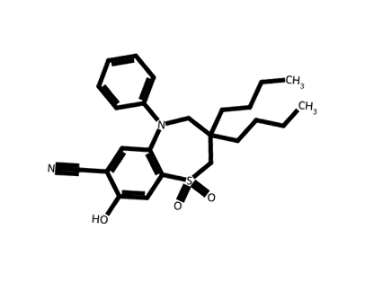 CCCCC1(CCCC)CN(c2ccccc2)c2cc(C#N)c(O)cc2S(=O)(=O)C1